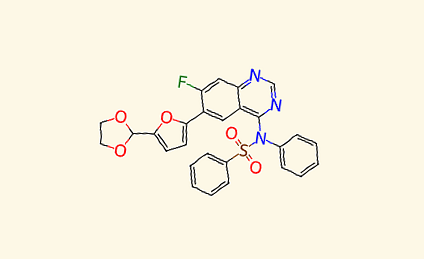 O=S(=O)(c1ccccc1)N(c1ccccc1)c1ncnc2cc(F)c(-c3ccc(C4OCCO4)o3)cc12